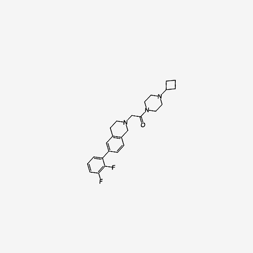 O=C(CN1CCc2cc(-c3cccc(F)c3F)ccc2C1)N1CCN(C2CCC2)CC1